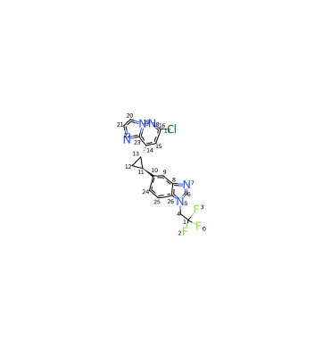 FC(F)(F)Cn1cnc2cc([C@H]3C[C@@H]3c3cc(Cl)nn4ccnc34)ccc21